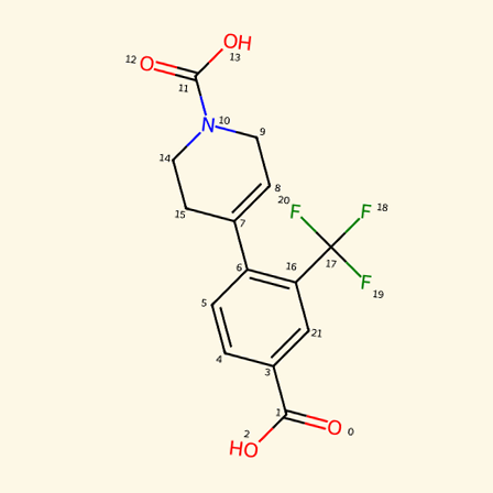 O=C(O)c1ccc(C2=CCN(C(=O)O)CC2)c(C(F)(F)F)c1